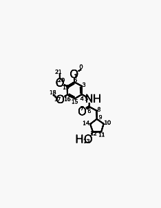 COc1cc(NC(=O)CC2CCC(O)C2)cc(OC)c1OC